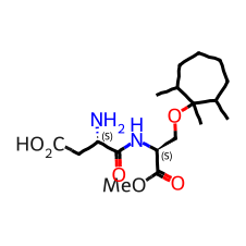 COC(=O)[C@H](COC1(C)C(C)CCCCC1C)NC(=O)[C@@H](N)CC(=O)O